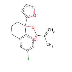 C=C(C)C(=O)OC1(c2ccco2)CCCc2cc(F)ccc21